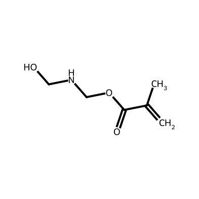 C=C(C)C(=O)OCNCO